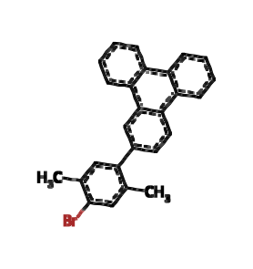 Cc1cc(-c2ccc3c4ccccc4c4ccccc4c3c2)c(C)cc1Br